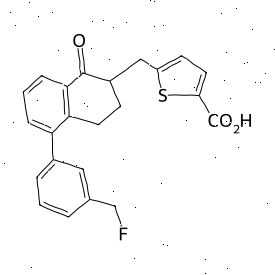 O=C(O)c1ccc(CC2CCc3c(cccc3-c3cccc(CF)c3)C2=O)s1